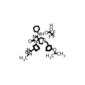 Cc1nc(-c2cccc(N3C(=O)N=C(NC4CCCCC4)C34CCN(Cc3cccc(OC(C)C)c3)CC4)c2)no1.O=C(O)C(F)(F)F